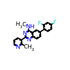 CNc1nc(-c2cccnc2C)nc2ccc(-c3ccc(F)cc3F)cc12